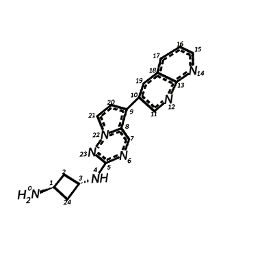 N[C@H]1C[C@H](Nc2ncc3c(-c4cnc5ncccc5c4)ccn3n2)C1